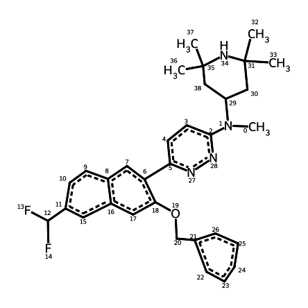 CN(c1ccc(-c2cc3ccc(C(F)F)cc3cc2OCc2ccccc2)nn1)C1CC(C)(C)NC(C)(C)C1